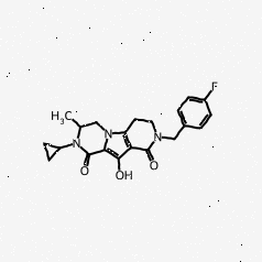 CC1Cn2c3c(c(O)c2C(=O)N1C1CC1)C(=O)N(Cc1ccc(F)cc1)CC3